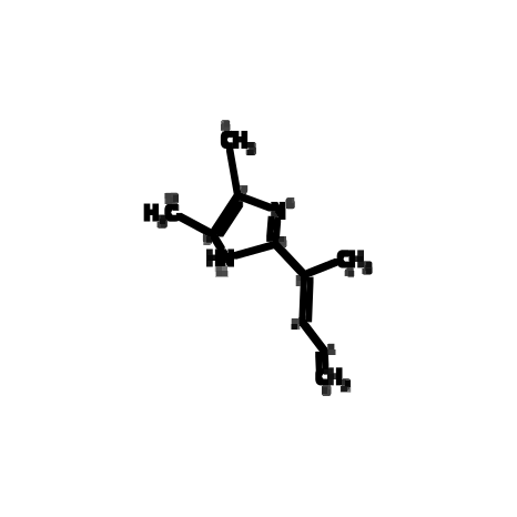 C=C/C=C(\C)c1nc(C)c(C)[nH]1